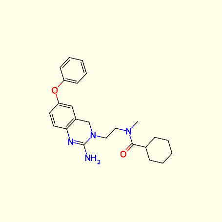 CN(CCN1Cc2cc(Oc3ccccc3)ccc2N=C1N)C(=O)C1CCCCC1